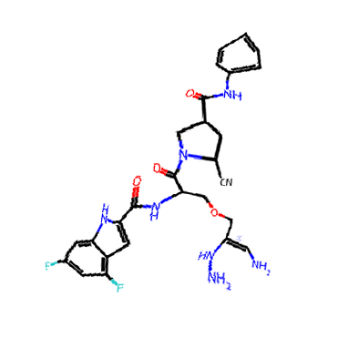 N#CC1CC(C(=O)Nc2ccccc2)CN1C(=O)C(COC/C(=C/N)NN)NC(=O)c1cc2c(F)cc(F)cc2[nH]1